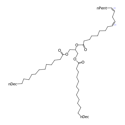 CCCCC/C=C\C/C=C\CCCCCCCC(=O)OC(COC(=O)CCCCCCCCCCCCCCCCCCCCC)COC(=O)CCCCCCCCCCCCCCCCCCCCC